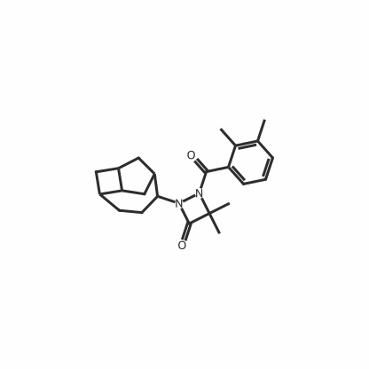 Cc1cccc(C(=O)N2N(C3CCC4CC5CC3CC45)C(=O)C2(C)C)c1C